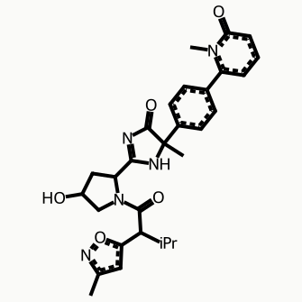 Cc1cc(C(C(=O)N2CC(O)CC2C2=NC(=O)C(C)(c3ccc(-c4cccc(=O)n4C)cc3)N2)C(C)C)on1